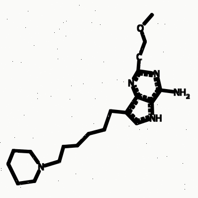 COCCc1nc(N)c2[nH]cc(CCCCCCN3CCCCC3)c2n1